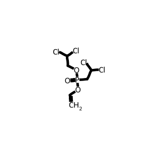 C=COP(=O)(CC(Cl)Cl)OCC(Cl)Cl